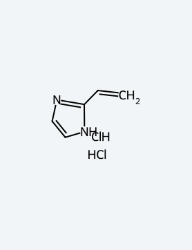 C=Cc1ncc[nH]1.Cl.Cl